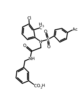 CC(=O)c1ccc(S(=O)(=O)N(CC(=O)NCc2cccc(C(=O)O)c2)c2cccc(Cl)c2C)cc1